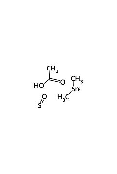 CC(=O)O.O=S.[CH3][Sn][CH3]